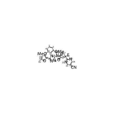 COc1cccc(OC)c1-n1c(NS(=O)(=O)[C@@H](C)C(C)(F)c2ncc(C#N)cn2)nnc1-c1ccc(C)o1